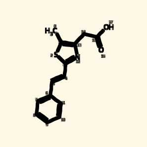 Cc1sc(C=Cc2ccccc2)nc1CC(=O)O